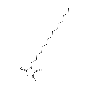 CCCCCCCCCCCCCCCN1C(=O)CN(C)C1=O